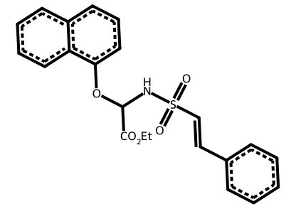 CCOC(=O)C(NS(=O)(=O)C=Cc1ccccc1)Oc1cccc2ccccc12